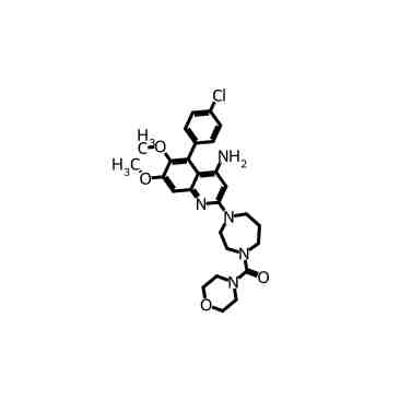 COc1cc2nc(N3CCCN(C(=O)N4CCOCC4)CC3)cc(N)c2c(-c2ccc(Cl)cc2)c1OC